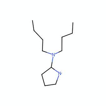 CCCCN(CCCC)C1CCC[N]1